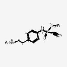 C#CP(=O)(Nc1ccc(CCNC(C)=O)cc1)OC(C)C